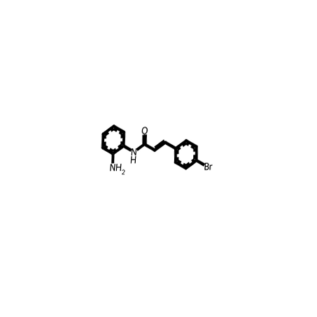 Nc1ccccc1NC(=O)C=Cc1ccc(Br)cc1